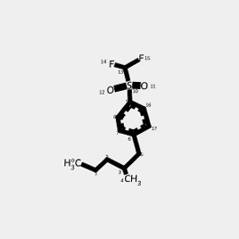 CCCC(C)Cc1ccc(S(=O)(=O)C(F)F)cc1